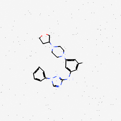 Cc1cc(Nc2ncn(-c3ccccc3)n2)cc(N2CCN(C3CCOC3)CC2)c1